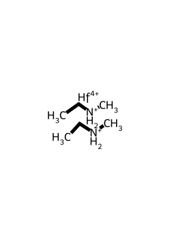 CC[NH2+]C.CC[NH2+]C.[Hf+4]